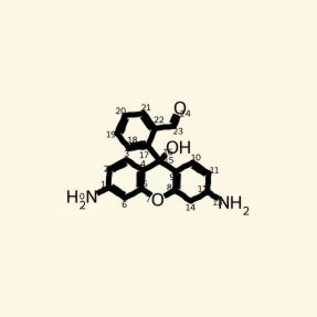 Nc1ccc2c(c1)OC1=C(C=CC(N)C1)C2(O)c1ccccc1C=O